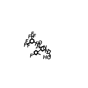 Cc1cc(F)ccc1-c1cc(N2CCC(CO)C2)ncc1N(C)C(=O)C(C)(C)c1cc(C(F)(F)F)cc(C(F)(F)F)c1